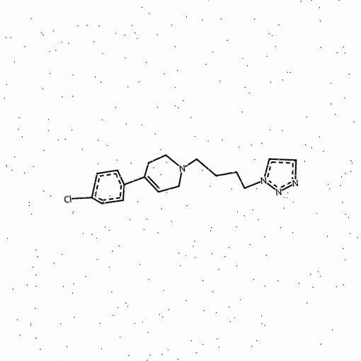 Clc1ccc(C2=CCN(CCCCn3ccnn3)CC2)cc1